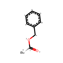 CC[C@@H](C)C(=O)OCc1ccccc1